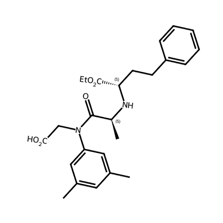 CCOC(=O)[C@H](CCc1ccccc1)N[C@@H](C)C(=O)N(CC(=O)O)c1cc(C)cc(C)c1